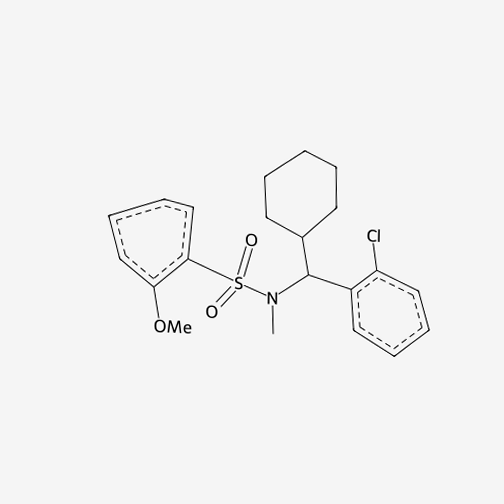 COc1ccccc1S(=O)(=O)N(C)C(c1ccccc1Cl)C1CCCCC1